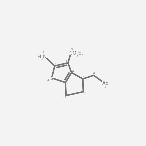 CCOC(=O)c1c(N)sc2c1C(CC(C)=O)CC2